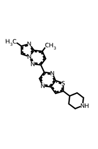 Cc1cn2nc(-c3cnc4cc(C5CCNCC5)sc4n3)cc(C)c2n1